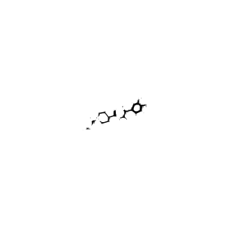 CC(NC(=O)C1CCN(C(=O)OC(C)(C)C)CC1)C(=O)c1ccc(F)c(Cl)c1